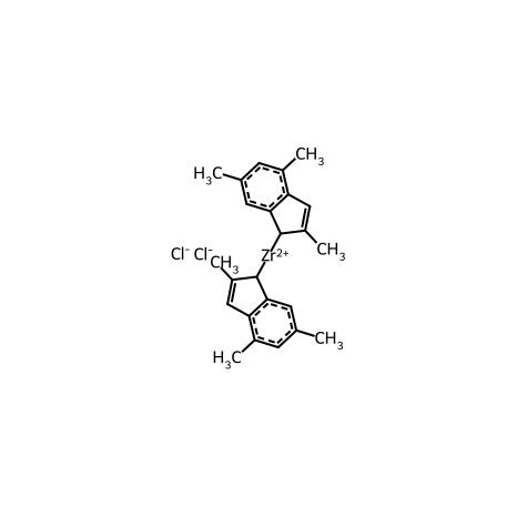 CC1=Cc2c(C)cc(C)cc2[CH]1[Zr+2][CH]1C(C)=Cc2c(C)cc(C)cc21.[Cl-].[Cl-]